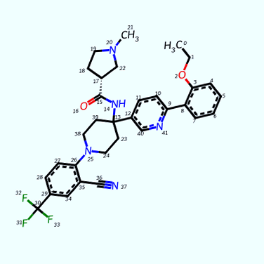 CCOc1ccccc1-c1ccc(C2(NC(=O)[C@@H]3CCN(C)C3)CCN(c3ccc(C(F)(F)F)cc3C#N)CC2)cn1